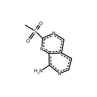 CS(=O)(=O)c1ncc2ccnc(N)c2n1